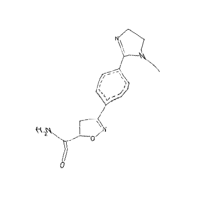 CN1CCN=C1c1ccc(C2=NOC(C(N)=O)C2)cc1